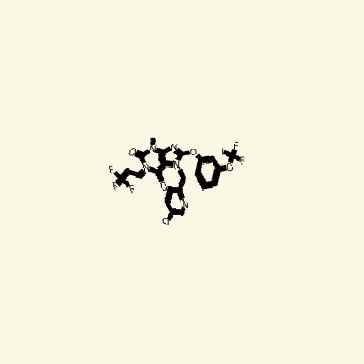 Cn1c(=O)n(CCC(F)(F)F)c(=O)c2c1nc(Oc1cccc(OC(F)(F)I)c1)n2Cc1ccc(Cl)cn1